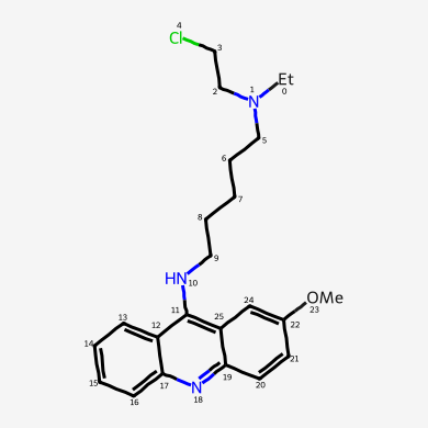 CCN(CCCl)CCCCCNc1c2ccccc2nc2ccc(OC)cc12